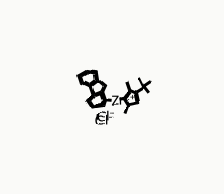 CC1=[C]([Zr+2][c]2cccc3c2Cc2ccccc2-3)C(C)C=C1C(C)(C)C.[Cl-].[Cl-]